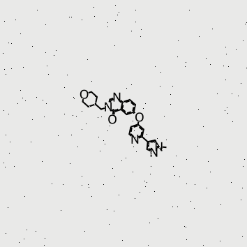 Cn1cc(-c2cc(Oc3ccc4ncn(CC5CCOCC5)c(=O)c4c3)ccn2)cn1